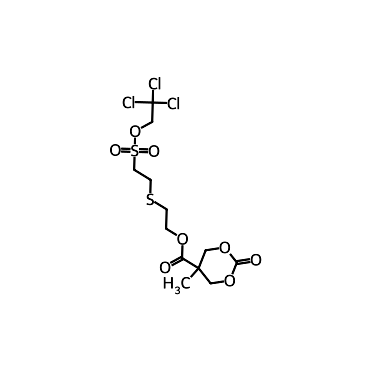 CC1(C(=O)OCCSCCS(=O)(=O)OCC(Cl)(Cl)Cl)COC(=O)OC1